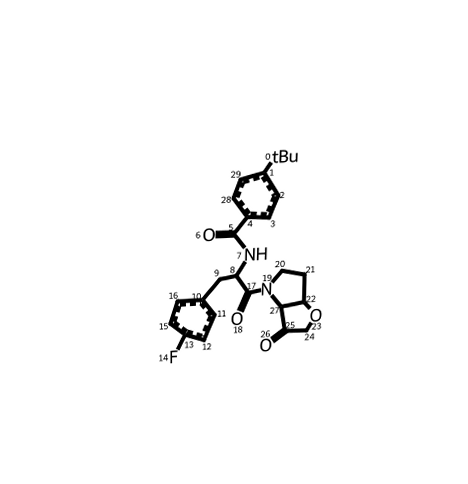 CC(C)(C)c1ccc(C(=O)NC(Cc2ccc(F)cc2)C(=O)N2CCC3OCC(=O)C32)cc1